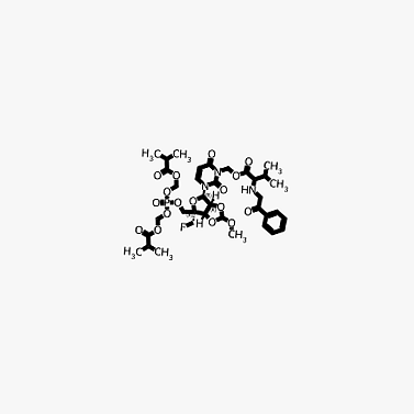 COC1O[C@H]2[C@H](n3ccc(=O)n(COC(=O)C(NCC(=O)c4ccccc4)C(C)C)c3=O)O[C@](CF)(COP(=O)(OCOC(=O)C(C)C)OCOC(=O)C(C)C)[C@H]2O1